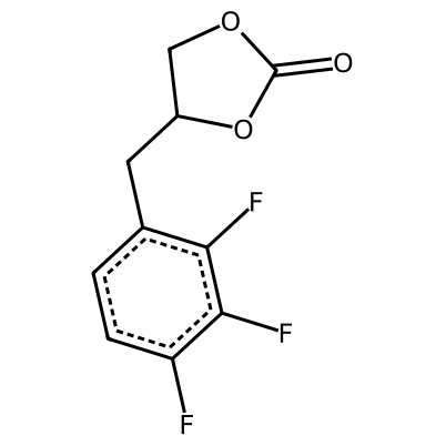 O=C1OCC(Cc2ccc(F)c(F)c2F)O1